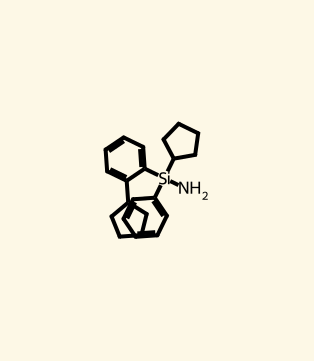 N[Si](c1ccccc1)(c1ccccc1C1CCCC1)C1CCCC1